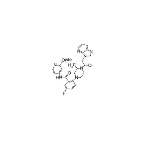 COc1cc(NC(=O)c2cc(F)ccc2N2CCN(C(=O)Cn3cnc4cccnc43)[C@H](C)C2)ccn1